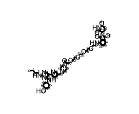 CCCCNc1ncc(-c2ccc(CN3CCN(C(=O)COCCOCCOCCOCCNc4cccc5c4C(=O)N(C4CCC(=O)NC4=O)C5=O)CC3)cn2)c(NC2CCC(O)CC2)n1